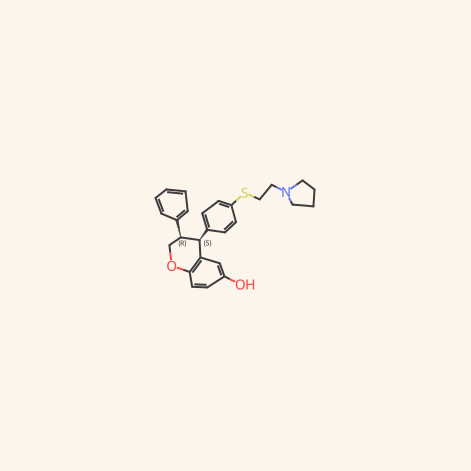 Oc1ccc2c(c1)[C@H](c1ccc(SCCN3CCCC3)cc1)[C@H](c1ccccc1)CO2